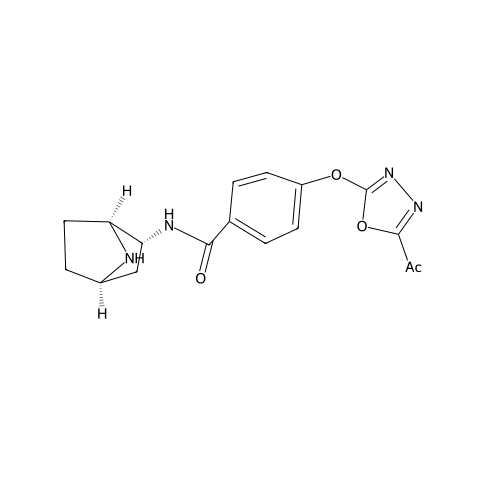 CC(=O)c1nnc(Oc2ccc(C(=O)N[C@@H]3C[C@H]4CC[C@@H]3N4)cc2)o1